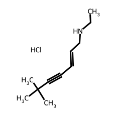 CCNCC=CC#CC(C)(C)C.Cl